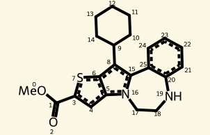 COC(=O)c1cc2c(s1)c(C1CCCCC1)c1n2CCNc2ccccc2-1